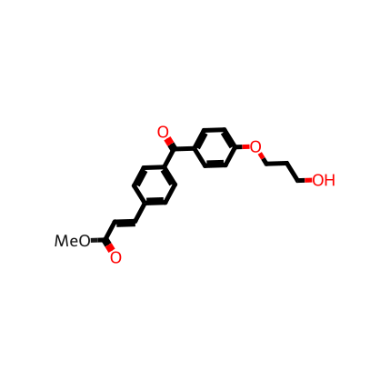 COC(=O)/C=C/c1ccc(C(=O)c2ccc(OCCCO)cc2)cc1